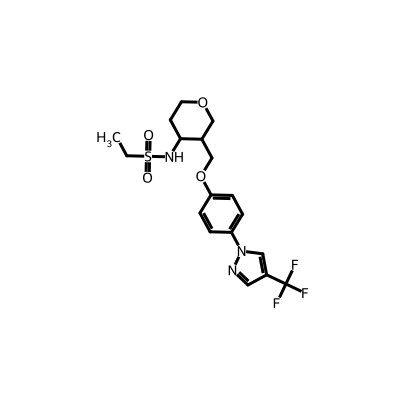 CCS(=O)(=O)NC1CCOCC1COc1ccc(-n2cc(C(F)(F)F)cn2)cc1